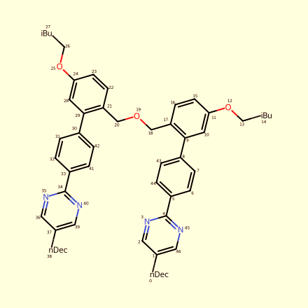 CCCCCCCCCCc1cnc(-c2ccc(-c3cc(OCC(C)CC)ccc3COCc3ccc(OCC(C)CC)cc3-c3ccc(-c4ncc(CCCCCCCCCC)cn4)cc3)cc2)nc1